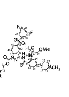 CCOCCOC(=O)n1nc(NC(=O)c2ccc(N3CCN(C)CC3)cc2N[C@@H](C)COC)c2cc(S(=O)(=O)c3cc(F)cc(F)c3)ccc21